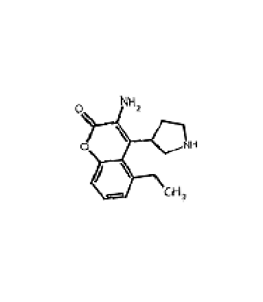 CCc1cccc2oc(=O)c(N)c(C3CCNC3)c12